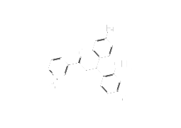 Cc1cc(Cl)ccc1C(CC(=O)c1ccc[n+]([O-])c1)c1ccc(Br)cc1